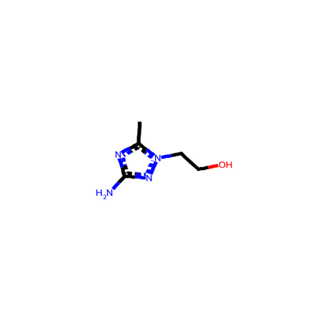 Cc1nc(N)nn1CCO